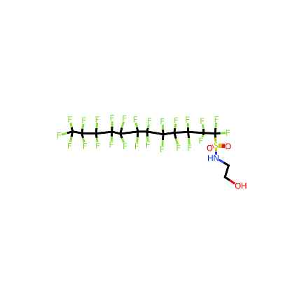 O=S(=O)(NCCO)C(F)(F)C(F)(F)C(F)(F)C(F)(F)C(F)(F)C(F)(F)C(F)(F)C(F)(F)C(F)(F)C(F)(F)C(F)(F)C(F)(F)F